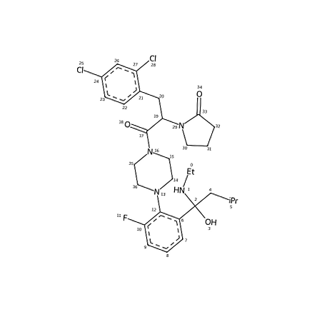 CCNC(O)(CC(C)C)c1cccc(F)c1N1CCN(C(=O)C(Cc2ccc(Cl)cc2Cl)N2CCCC2=O)CC1